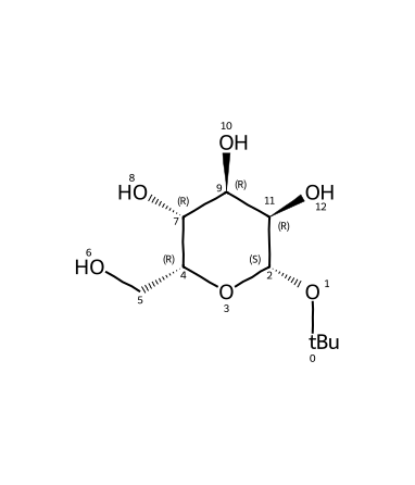 CC(C)(C)O[C@@H]1O[C@H](CO)[C@H](O)[C@@H](O)[C@H]1O